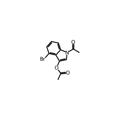 CC(=O)Oc1cn(C(C)=O)c2cccc(Br)c12